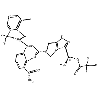 C[C@H](OC(=O)C(F)(F)F)c1n[nH]c2c1CN(c1nc(NCc3c(F)cccc3C(F)(F)F)c3cccc(C(N)=O)c3n1)C2